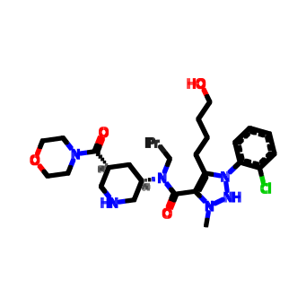 CC(C)CN(C(=O)C1=C(CCCCO)N(c2ccccc2Cl)NN1C)[C@@H]1CNC[C@H](C(=O)N2CCOCC2)C1